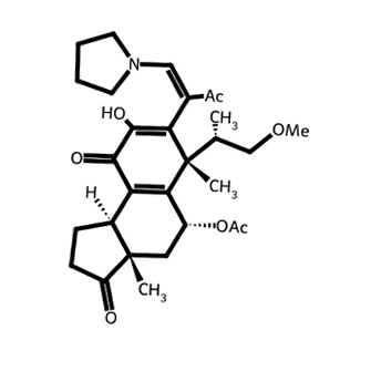 COC[C@@H](C)[C@@]1(C)C(/C(=C\N2CCCC2)C(C)=O)=C(O)C(=O)C2=C1[C@H](OC(C)=O)C[C@]1(C)C(=O)CC[C@@H]21